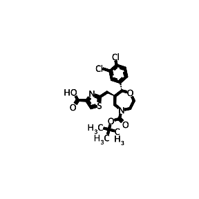 CC(C)(C)OC(=O)N1CCO[C@@H](c2ccc(Cl)c(Cl)c2)[C@H](Cc2nc(C(=O)O)cs2)C1